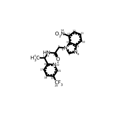 CC(NC(=O)Cn1cnc2cccc([N+](=O)[O-])c21)c1ccc(C(F)(F)F)cn1